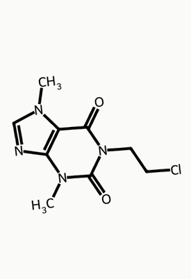 Cn1cnc2c1c(=O)n(CCCl)c(=O)n2C